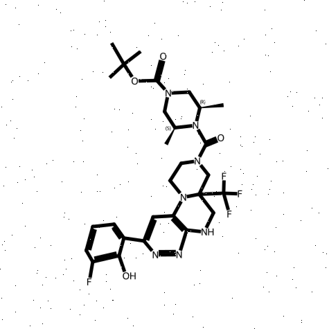 C[C@@H]1CN(C(=O)OC(C)(C)C)C[C@H](C)N1C(=O)N1CCN2c3cc(-c4cccc(F)c4O)nnc3NCC2(C(F)(F)F)C1